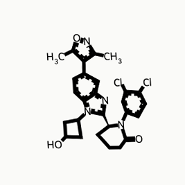 Cc1noc(C)c1-c1ccc2c(c1)nc([C@@H]1CCCC(=O)N1c1ccc(Cl)c(Cl)c1)n2C1CC(O)C1